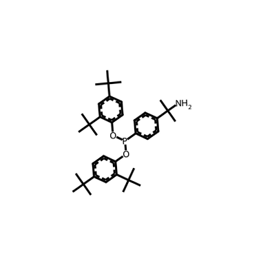 CC(C)(C)c1ccc(OP(Oc2ccc(C(C)(C)C)cc2C(C)(C)C)c2ccc(C(C)(C)N)cc2)c(C(C)(C)C)c1